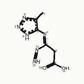 Cc1nn[nH]c1/N=C(/CC(=O)O)N=N